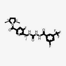 C[C@@H]1CC[C@H](C)N1C(=O)c1cnc([C@@H](C)NC(=O)NNC(=O)c2cc(F)cc(C(F)(F)F)c2)c(F)c1